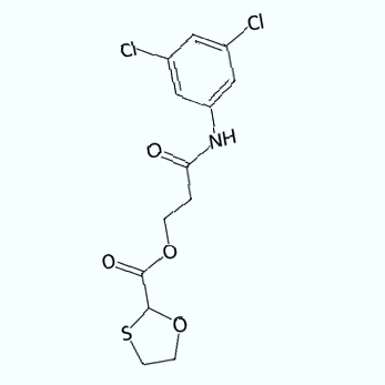 O=C(CCOC(=O)C1OCCS1)Nc1cc(Cl)cc(Cl)c1